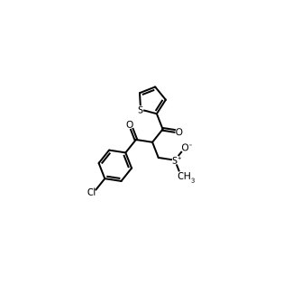 C[S+]([O-])CC(C(=O)c1ccc(Cl)cc1)C(=O)c1cccs1